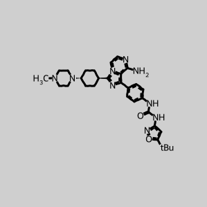 CN1CCN([C@H]2CC[C@H](c3nc(-c4ccc(NC(=O)Nc5cc(C(C)(C)C)on5)cc4)c4c(N)nccn43)CC2)CC1